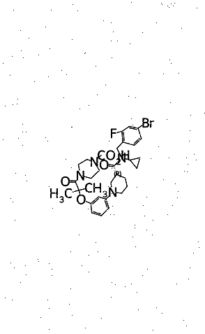 CC(C)(Oc1cccc(N2CCC[C@@H](C(=O)N(Cc3ccc(Br)cc3F)C3CC3)C2)c1)C(=O)N1CCN(C(=O)O)CC1